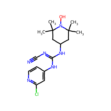 CC1(C)CC(NC(=NC#N)Nc2ccnc(Cl)c2)CC(C)(C)N1O